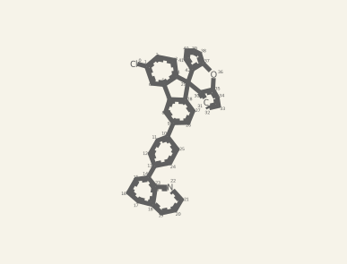 Clc1ccc2c(c1)-c1cc(-c3ccc(-c4cccc5cccnc45)cc3)ccc1C21c2ccccc2Oc2ccccc21